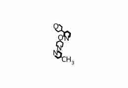 Cc1ccnc(N2CCC(Oc3ncccc3C3CCOCC3)CC2)c1